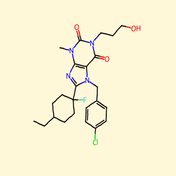 CCC1CCC(F)(c2nc3c(c(=O)n(CCCO)c(=O)n3C)n2Cc2ccc(Cl)cc2)CC1